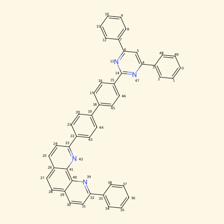 c1ccc(-c2cc(-c3ccccc3)nc(-c3ccc(-c4ccc(-c5ccc6ccc7ccc(-c8ccccc8)nc7c6n5)cc4)cc3)n2)cc1